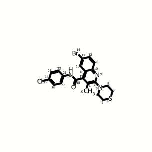 Cc1c(N2CCSCC2)nc2ccc(Br)cc2c1C(=O)Nc1[c]cc(Cl)cc1